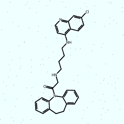 O=C(CNCCCCNc1ccnc2cc(Cl)ccc12)N1c2ccccc2CCc2ccccc21